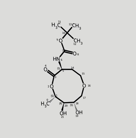 C[C@@H]1OC(=O)[C@@H](NC(=O)OC(C)(C)C)CCOC[C@H](O)[C@H]1O